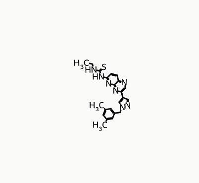 CCNC(=S)Nc1ccc2ncc(-c3cnn(Cc4cc(C)cc(C)c4)c3)nc2n1